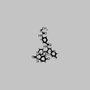 COC(=O)Nc1ccc(C(=O)NC(Cc2ccc(F)cn2)C(=O)N2CCC[C@@]3(C2)OC(=O)Nc2ccc(Cl)c(F)c23)cc1